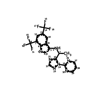 CC(Nc1snc2c(C(F)(F)F)cc(C(F)(F)F)cc12)c1ncnn1-c1ncccn1